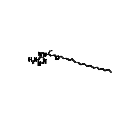 [CH2]C(CCOCCCCCCCCCCCCCCCCCC)n1cnc2c(N)ncnc21